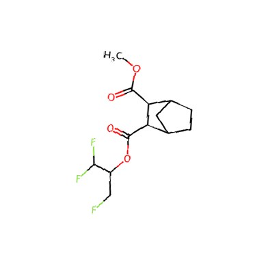 COC(=O)C1C2CCC(C2)C1C(=O)OC(CF)C(F)F